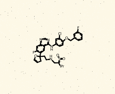 CC(C)C(CNCCC1(c2cc3c(Nc4ccc(OCc5cccc(F)c5)c(Cl)c4)ncnc3cc2F)CC=CO1)=S(=O)=O